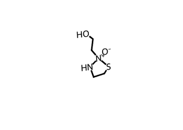 [O-][N+]1(CCO)NCCS1